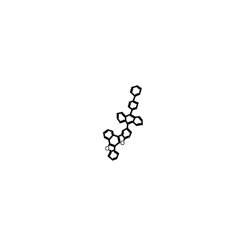 c1ccc(-c2ccc(-c3c4ccccc4c(-c4ccc5oc6c(c5c4)c4ccccc4c4oc5ccccc5c46)c4ccccc34)cc2)cc1